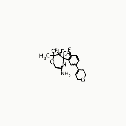 CC1(C)OCC(N)=NC(C)(c2cc(C3=CCOCC3)ccc2F)C1(F)F